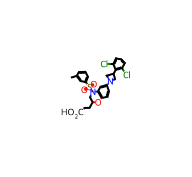 Cc1cccc(S(=O)(=O)N2CC(CCC(=O)O)Oc3ccc(N4CC(c5c(Cl)cccc5Cl)C4)cc32)c1